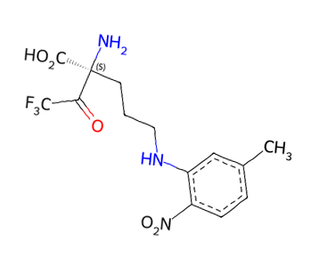 Cc1ccc([N+](=O)[O-])c(NCCC[C@@](N)(C(=O)O)C(=O)C(F)(F)F)c1